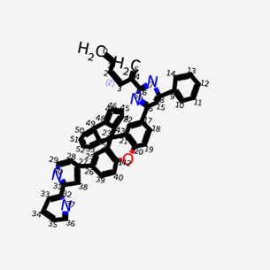 C=C/C=C\C(=C)c1nc(-c2ccccc2)cc(-c2ccc3c(c2)C2(c4cc(-c5ccnc(-c6ccccn6)c5)ccc4O3)c3ccccc3-c3ccccc32)n1